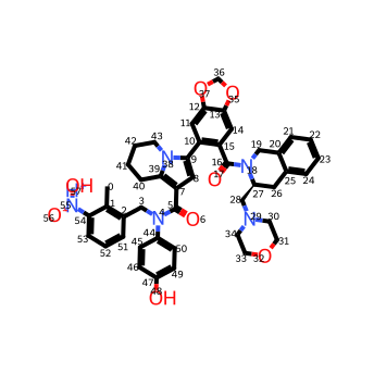 Cc1c(CN(C(=O)c2cc(-c3cc4c(cc3C(=O)N3Cc5ccccc5C[C@H]3CN3CCOCC3)OCO4)n3c2CCCC3)c2ccc(O)cc2)cccc1[NH+]([O-])O